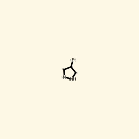 CCC1C[N]NC1